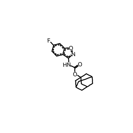 O=C(Nc1noc2cc(F)ccc12)OC12CC3CC(CC(C3)C1)C2